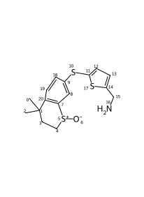 CC1(C)CC[S+]([O-])c2cc(Sc3ccc(CN)s3)ccc21